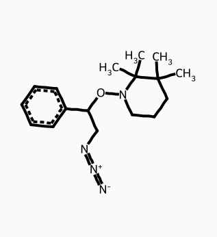 CC1(C)CCCN(OC(CN=[N+]=[N-])c2ccccc2)C1(C)C